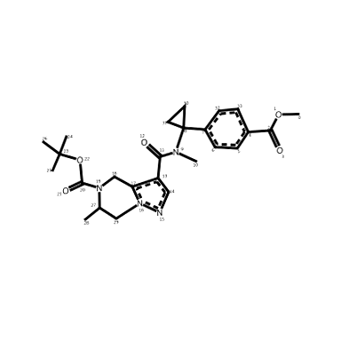 COC(=O)c1ccc(C2(N(C)C(=O)c3cnn4c3CN(C(=O)OC(C)(C)C)C(C)C4)CC2)cc1